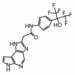 O=C(Cc1nc2cnc3[nH]ccc3c2[nH]1)Nc1ccc(C(O)(C(F)(F)F)C(F)(F)F)cc1